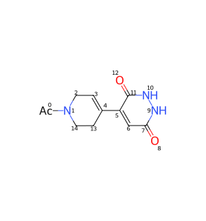 CC(=O)N1CC=C(c2cc(=O)[nH][nH]c2=O)CC1